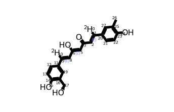 [2H]/C(=C\C(=O)/C=C(O)/C=C(\[2H])c1ccc(O)c(CO)c1)c1ccc(O)c(C)c1